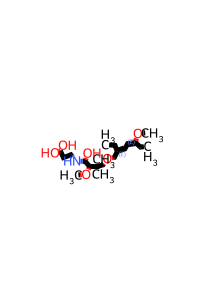 CC/C(=C\C=C(/CC)OC)COCC(C)(C)C(OC)C(O)NCCC(O)O